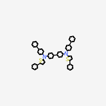 c1ccc(-c2ccc(N(c3ccc(-c4ccc(N(c5ccc(-c6ccccc6)cc5)c5ccc(-c6ccccc6)s5)cc4)cc3)c3ccc(-c4ccccc4)s3)cc2)cc1